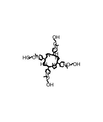 CC(OCCO)N1C=CC(c2c3nc(c(C4=CCN(C(C)OCCO)C=C4)c4ccc([nH]4)c(C4=CCN(C(C)OCCO)C=C4)c4nc(c(C5=CCN(C(C)OCCO)C=C5)c5ccc2[nH]5)C=C4)C=C3)=CC1